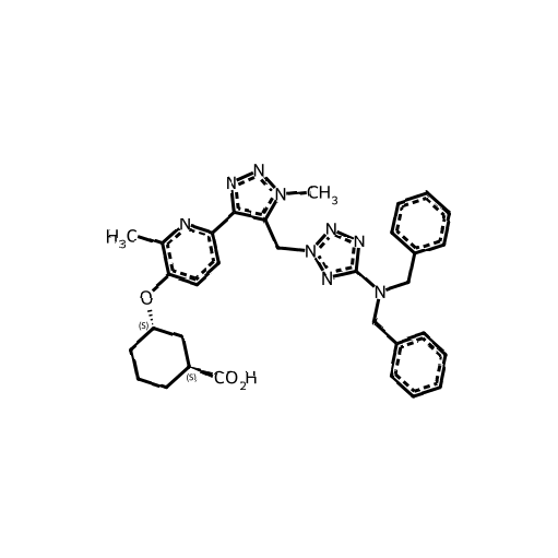 Cc1nc(-c2nnn(C)c2Cn2nnc(N(Cc3ccccc3)Cc3ccccc3)n2)ccc1O[C@H]1CCC[C@H](C(=O)O)C1